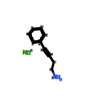 Cl.NCCC#Cc1ccccc1